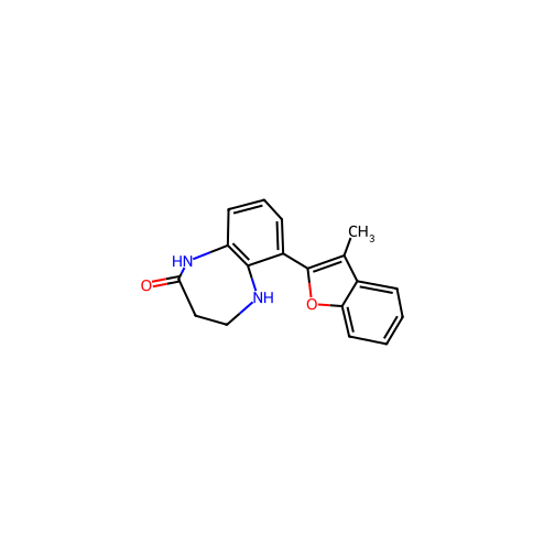 Cc1c(-c2cccc3c2NCCC(=O)N3)oc2ccccc12